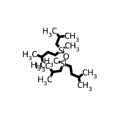 CC(C)CC[Si](C)(CC(C)C)O[Si](C)(CCC(C)C)CC(C)C